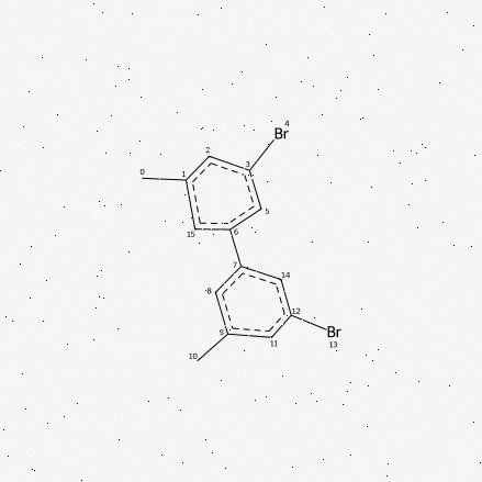 Cc1cc(Br)cc(-c2cc(C)cc(Br)c2)c1